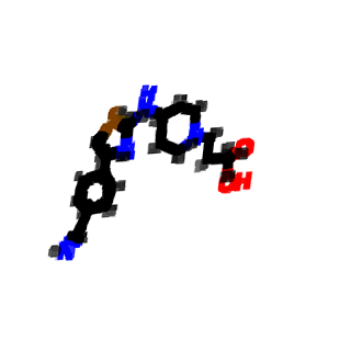 N#Cc1ccc(-c2csc(NC3CCN(CCC(=O)O)CC3)n2)cc1